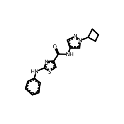 O=C(Nc1cnn(C2CCC2)c1)c1csc(Nc2ccccc2)n1